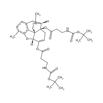 Cc1ccc2c3c1O[C@H]1C(OC(=O)CCNC(=O)OC(C)(C)C)=CC[C@@]4(OC(=O)CCNC(=O)OC(C)(C)C)[C@@H](C2)N(C)CC[C@]314